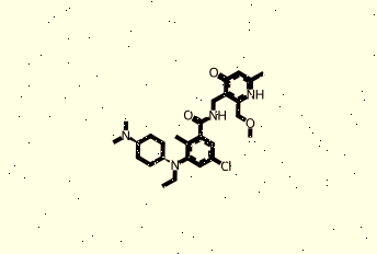 CCN(c1cc(Cl)cc(C(=O)NCc2c(COC)[nH]c(C)cc2=O)c1C)[C@H]1CC[C@H](N(C)C)CC1